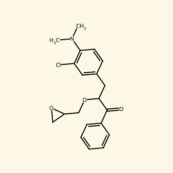 CN(C)c1ccc(CC(OCC2CO2)C(=O)c2ccccc2)cc1Cl